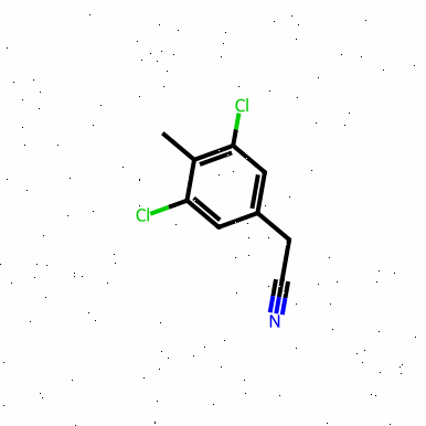 Cc1c(Cl)cc(CC#N)cc1Cl